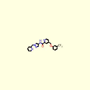 O=C(Nc1cnn(Cc2ccccn2)c1)c1cc(COc2cccc(C(F)(F)F)c2)ccn1